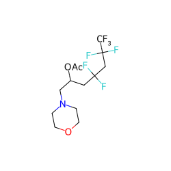 CC(=O)OC(CN1CCOCC1)CC(F)(F)CC(F)(F)C(F)(F)F